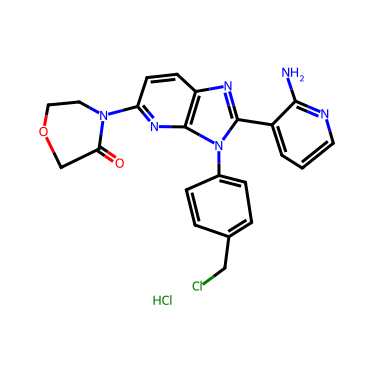 Cl.Nc1ncccc1-c1nc2ccc(N3CCOCC3=O)nc2n1-c1ccc(CCl)cc1